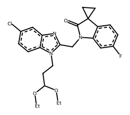 CCOC(CCn1c(CN2C(=O)C3(CC3)c3ccc(F)cc32)nc2cc(Cl)ccc21)OCC